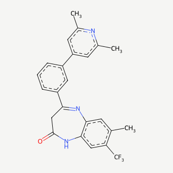 Cc1cc(-c2cccc(C3=Nc4cc(C)c(C(F)(F)F)cc4NC(=O)C3)c2)cc(C)n1